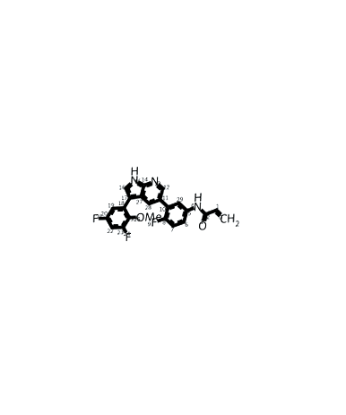 C=CC(=O)Nc1ccc(F)c(-c2cnc3[nH]cc(-c4cc(F)cc(F)c4OC)c3c2)c1